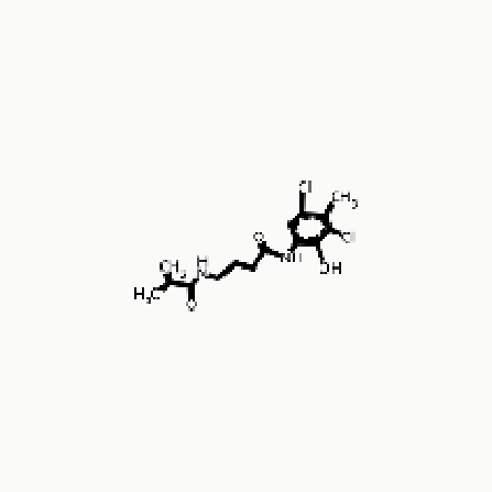 C=C(C)C(=O)NCCCC(=O)Nc1cc(Cl)c(C)c(Cl)c1O